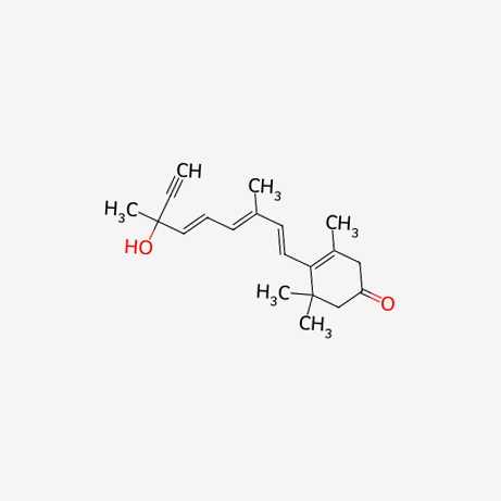 C#CC(C)(O)C=CC=C(C)C=CC1=C(C)CC(=O)CC1(C)C